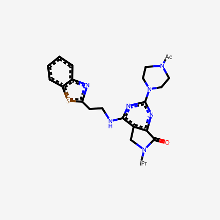 CC(=O)N1CCN(c2nc(NCCc3nc4ccccc4s3)c3c(n2)C(=O)N(C(C)C)C3)CC1